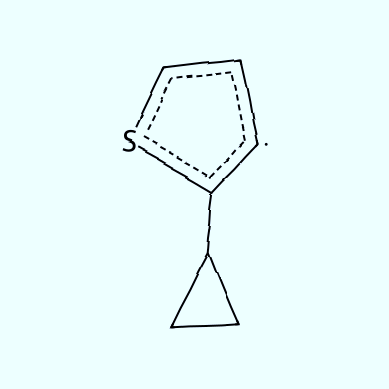 [c]1ccsc1C1CC1